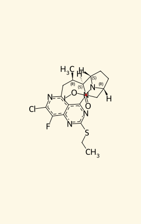 CCSc1nc2c3c(nc(Cl)c(F)c3n1)C[C@@H](C)[C@H]1[C@@H]3CC[C@H](CN21)N3C(=O)OI